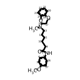 COc1ccc(NC(=O)CCCCCN(C)C2COc3ccccc3O2)cc1